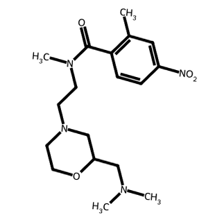 Cc1cc([N+](=O)[O-])ccc1C(=O)N(C)CCN1CCOC(CN(C)C)C1